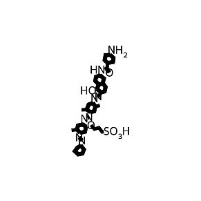 Cc1cc(N=Nc2cc(C)c(N=Nc3ccc4cc(NC(=O)c5ccc(N)cc5)ccc4c3O)cc2C)c(OCCCS(=O)(=O)O)cc1N=Nc1ccccc1